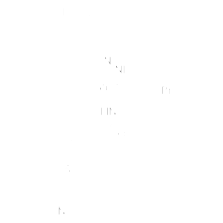 O=C(Nc1ccc(Br)cc1C(=O)N/N=C/c1ccc(F)cc1)c1cccc(CSc2ccncc2)c1